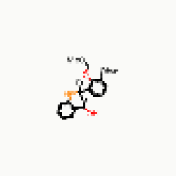 CCC(C)(Pc1ccccc1C(C)O)c1cccc(OC)c1OCOC